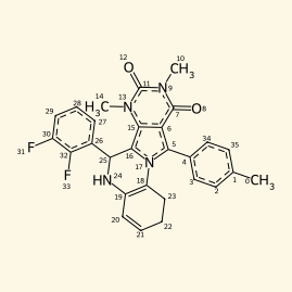 Cc1ccc(-c2c3c(=O)n(C)c(=O)n(C)c3c3n2C2=C(C=CCC2)NC3c2cccc(F)c2F)cc1